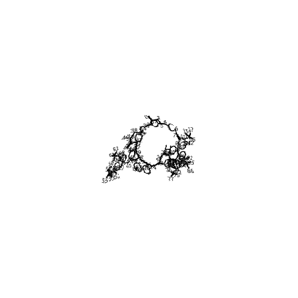 C=C1CC2CCC/C=C/C(O[Si](C)(C)C(C)(C)C)C3O[C@H]4CCC(CC(=O)CC5[C@H](CC6OC(CCC1O2)C[C@@H](C)C6=C)O[C@H](C[C@@H](CO[Si](C)(C)C(C)(C)C)O[Si](C)(C)C(C)(C)C)[C@@H]5OC)O[C@@H]4C(O[Si](C)(C)C(C)(C)C)C3O[Si](C)(C)C(C)(C)C